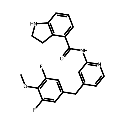 COc1c(F)cc(Cc2ccnc(NC(=O)c3cccc4c3CCN4)c2)cc1F